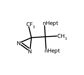 CCCCCCCC(C)(CCCCCCC)C1(C(F)(F)F)N=N1